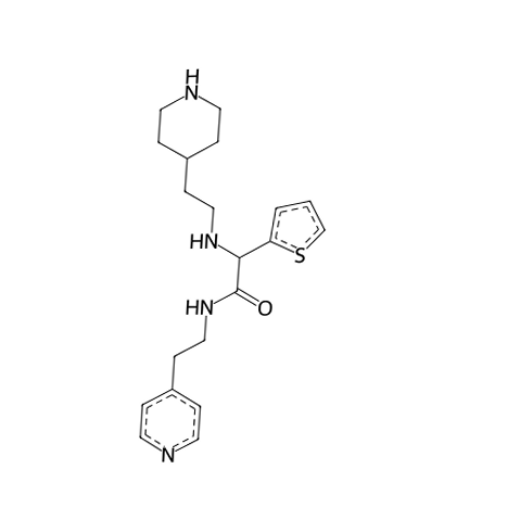 O=C(NCCc1ccncc1)C(NCCC1CCNCC1)c1cccs1